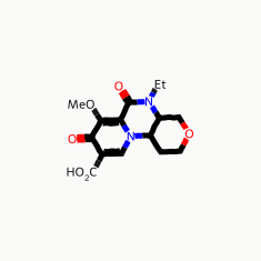 CCN1C(=O)c2c(OC)c(=O)c(C(=O)O)cn2C2CCOCC21